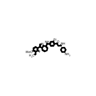 C=Cc1c(OC)ccc(C2=CN=C3C(C(=N)c4ccc(C(=O)CC(=N)[C@H]5CC[C@H](N)CC5)c(CC)c4)=CCC=CC23)c1F